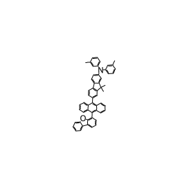 Cc1cccc(N(c2cccc(C)c2)c2ccc3c(c2)C(C)(C)c2cc(-c4c5ccccc5c(-c5cccc6c5oc5ccccc56)c5ccccc45)ccc2-3)c1